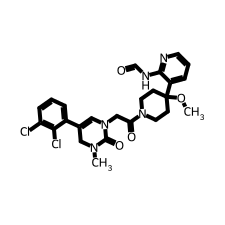 COC1(c2cccnc2NC=O)CCN(C(=O)CN2C=C(c3cccc(Cl)c3Cl)CN(C)C2=O)CC1